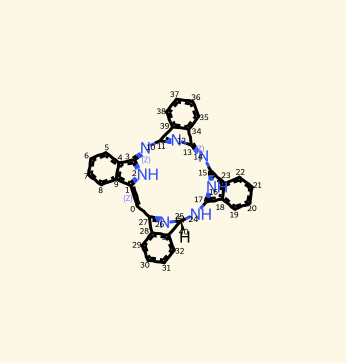 C1=c2\[nH]/c(c3ccccc23)=N\C2=NC(=N\c3[nH]c(c4ccccc34)N[C@H]3N=C/1c1ccccc13)/c1ccccc12